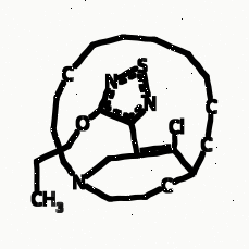 CCCOc1nsnc1C1=C(Cl)C2CCCCCCCCCCCN(CCC2)C1